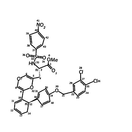 COC(=O)[C@H](CC1=COC=C(C2=CC=CC[C@@H]2c2ccc(OCc3ccc(Cl)c(Cl)c3)cc2)O1)NS(=O)(=O)c1ccc([N+](=O)[O-])cc1